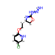 N=NNC1=N[C@@H](CCOC2=CC=C(Cl)CN2)CO1